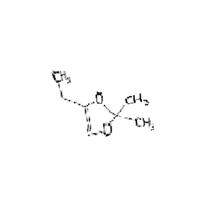 CCC1=COC(C)(C)O1